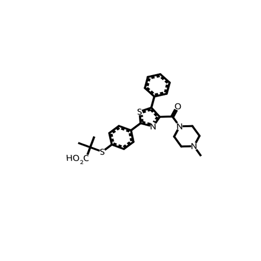 CN1CCN(C(=O)c2nc(-c3ccc(SC(C)(C)C(=O)O)cc3)sc2-c2ccccc2)CC1